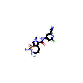 C[C@@H]1C=Cc2c(cn(C)c2C(=O)Nc2cc(F)nc(C#N)c2)S(=N)(=O)N1